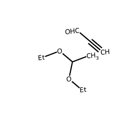 C#CC=O.CCOC(C)OCC